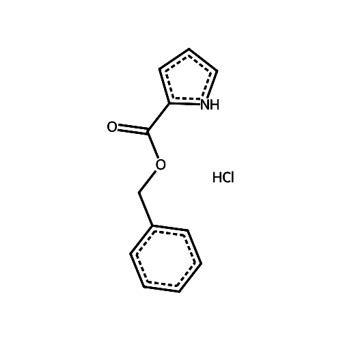 Cl.O=C(OCc1ccccc1)c1ccc[nH]1